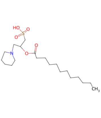 CCCCCCCCCCCC(=O)OC(CN1CCCCC1)CS(=O)(=O)O